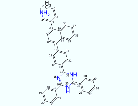 C/C=C\C(=C/N)c1ccc(-c2ccc(C3N=C(c4ccccc4)NC(c4ccccc4)N3)cc2)c2ccccc12